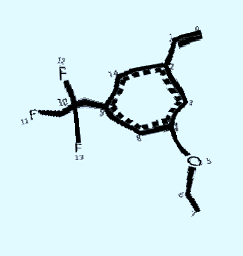 C=[C]c1cc(OCC)cc(C(F)(F)F)c1